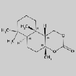 CC1(C)CCC[C@@]2(C)[C@H]1CC[C@@]1(C)OC(=O)OC[C@@H]21